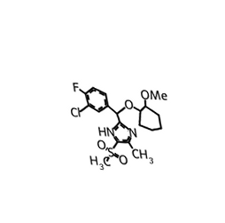 COC1CCCCC1OC(c1ccc(F)c(Cl)c1)c1nc(C)c(S(C)(=O)=O)[nH]1